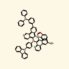 CC(C)c1ccc2c3c(c4ncccc4c2c1)N(c1ccc(-n2c4ccccc4c4ccccc42)cc1)c1c(c2ccc(-c4cccc(N(c5ccccc5)c5ccccc5)c4)cc2c2cnccc12)[Si]31c2ccccc2-c2ccccc21